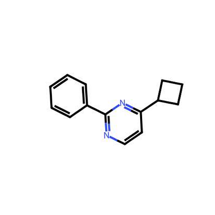 c1ccc(-c2nccc(C3CCC3)n2)cc1